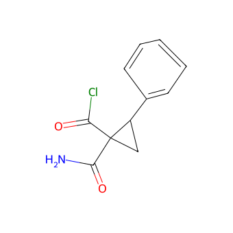 NC(=O)C1(C(=O)Cl)CC1c1ccccc1